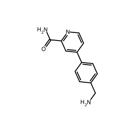 NCc1ccc(-c2ccnc(C(N)=O)c2)cc1